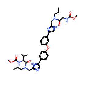 CCCN(Cc1nc(-c2cccc(Oc3ccc(-c4cnc(CN(CCC)C(=O)[C@@H](NC(=O)OC)C(C)C)[nH]4)cc3)c2)c[nH]1)C(=O)CNC(=O)OC